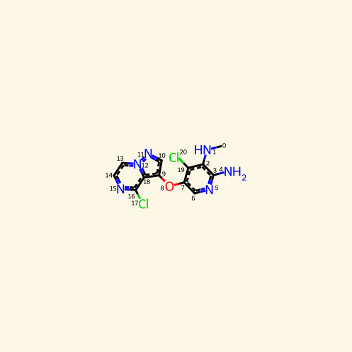 CNc1c(N)ncc(Oc2cnn3ccnc(Cl)c23)c1Cl